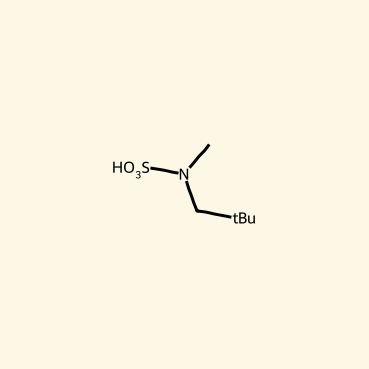 CN(CC(C)(C)C)S(=O)(=O)O